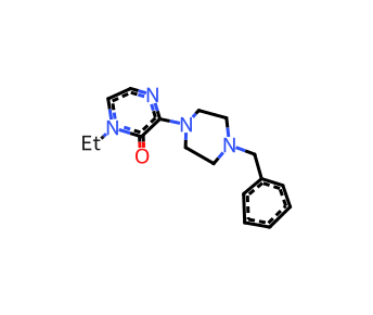 CCn1ccnc(N2CCN(Cc3ccccc3)CC2)c1=O